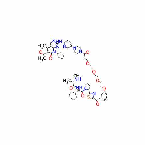 CNC(C)C(=O)N[C@H](C(=O)N1CCCC1c1nc(C(=O)c2cccc(OCCOCCOCCOCCC(=O)N3CCN(c4ccc(Nc5ncc6c(C)c(C(C)=O)c(=O)n(C7CCCC7)c6n5)nc4)CC3)c2)cs1)C1CCCCC1